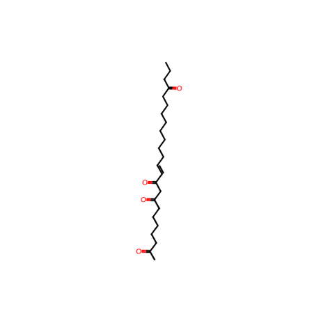 CCCC(=O)CCCCCCCCC=CC(=O)CC(=O)CCCCCC(C)=O